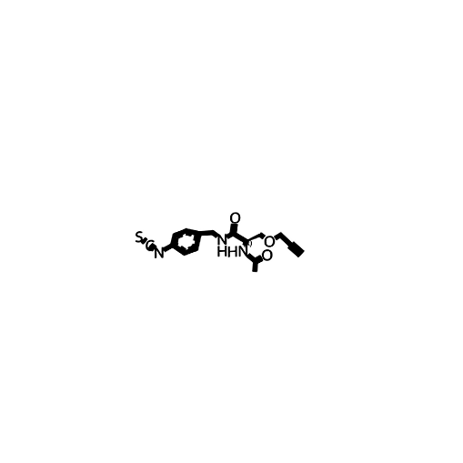 C#CCOC[C@@H](NC(C)=O)C(=O)NCc1ccc(N=C=S)cc1